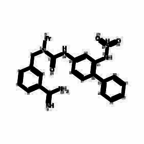 CC(C)N(Cc1cccc(C(=N)N)c1)C(=O)Nc1ccc(-c2ccccc2)c(N[SH](=O)=O)c1